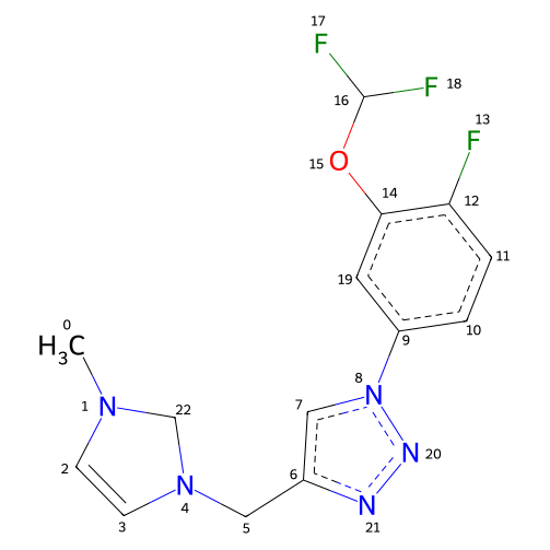 CN1C=CN(Cc2cn(-c3ccc(F)c(OC(F)F)c3)nn2)C1